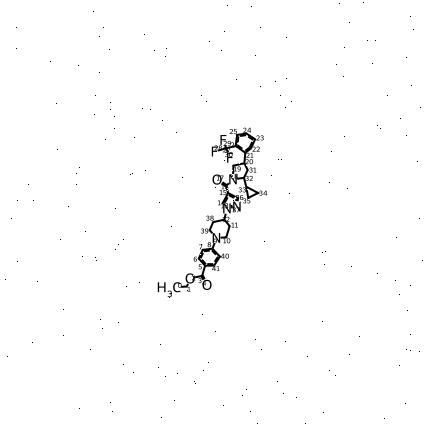 CCOC(=O)c1ccc(N2CCC(n3cc(C(=O)N4CC(c5ccccc5C(F)(F)F)CC4C4CC4)cn3)CC2)cc1